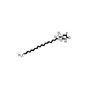 CCC=CCC=CCC=CCC=CCC=CCCCC(=O)OC(C)n1cc(F)c(=O)[nH]c1=O